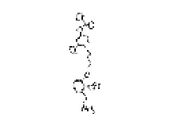 CCCc1c(CCN)cccc1OCCCSc1ccc(OC(=O)CC)cc1Cl